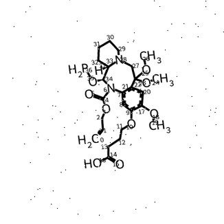 C=CCOC(=O)N1c2cc(OCCCC(=O)O)c(OC)cc2C(OC)(OC)CN2CCCC[C@H]2[C@@H]1OP